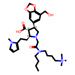 CCCCN(CCCC[N+](C)(C)C)C(=O)CN1C[C@H](c2cc(CO)c3c(c2)OCO3)[C@@H](C(=O)O)[C@@H]1CCc1cccn1C